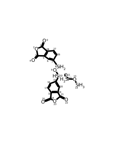 O=C1OC(=O)c2cc([SiH2]O[SiH](O[SiH2]O[SiH3])c3ccc4c(c3)C(=O)OC4=O)ccc21